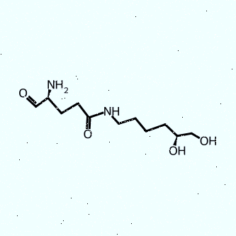 N[C@H](C=O)CCC(=O)NCCCC[C@H](O)CO